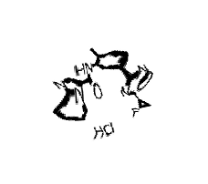 Cc1ccc(-c2noc([C@H]3C[C@@H]3F)n2)cc1NC(=O)c1cnc2ccccn12.Cl